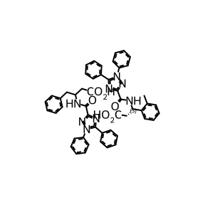 Cc1ccccc1[C@H](CC(=O)O)NC(=O)c1nc(-c2ccccc2)n(-c2ccccc2)n1.O=C(O)CC(Cc1ccccc1)NC(=O)c1nc(-c2ccccc2)n(-c2ccccc2)n1